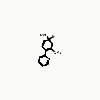 COC1=C(c2ccccn2)C=CC(Br)(OC)C1